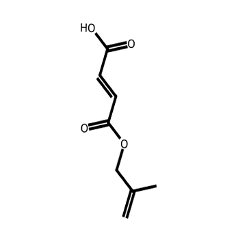 C=C(C)COC(=O)C=CC(=O)O